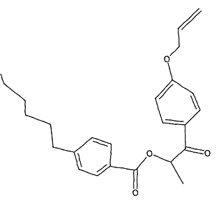 C=CCOc1ccc(C(=O)C(C)OC(=O)c2ccc(CCCCCC)cc2)cc1